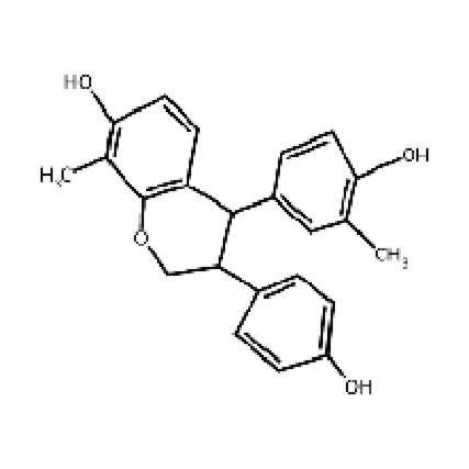 Cc1cc(C2c3ccc(O)c(C)c3OCC2c2ccc(O)cc2)ccc1O